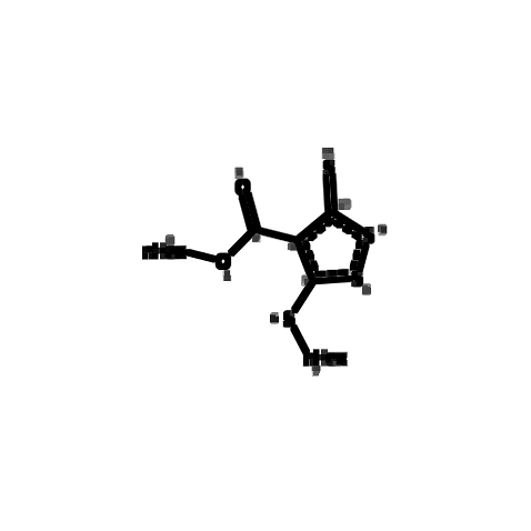 CCCCCCOC(=O)c1c(SCCCCCC)ssc1=S